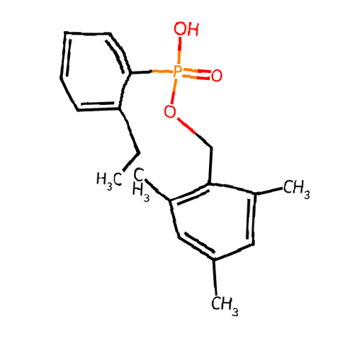 CCc1ccccc1P(=O)(O)OCc1c(C)cc(C)cc1C